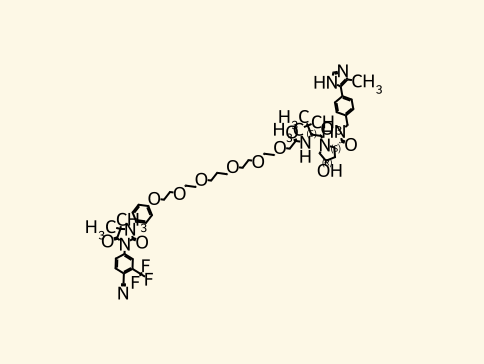 Cc1nc[nH]c1-c1ccc(CNC(=O)[C@@H]2C[C@@H](O)CN2C(=O)[C@@H](NC(=O)COCCOCCOCCCOCCOCCOc2ccc(N3C(=O)N(c4ccc(C#N)c(C(F)(F)F)c4)C(=O)C3(C)C)cc2)C(C)(C)C)cc1